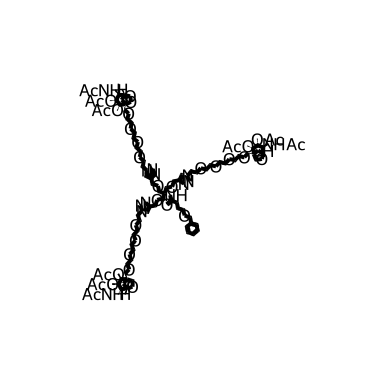 CC(=O)N[C@H]1[C@H]2OC[C@](COCCOCCOCCOCCn3cc(COCC(COCc4cn(CCOCCOCCOCCOC[C@@]56CO[C@@H](O5)[C@H](NC(C)=O)[C@@H](OC(C)=O)[C@H]6OC(C)=O)nn4)(COCc4cn(CCOCCOCCOCCOC[C@@]56OO[C@H](O5)[C@H](NC(C)=O)[C@@H](OC(C)=O)[C@H]6OC(C)=O)nn4)NC(=O)CCCOCc4ccccc4)nn3)(O2)[C@H](OC(C)=O)[C@@H]1OC(C)=O